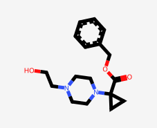 O=C(OCc1ccccc1)C1(N2CCN(CCO)CC2)CC1